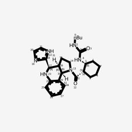 CCCCNC(=O)N[C@@H]1CCCC[C@@H]1C(=O)N1CC[C@@H]2[C@H](c3ncc[nH]3)Nc3ccccc3[C@@H]21